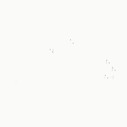 Fc1cc(-c2nccnc2Oc2ccc(C(F)(F)F)cc2)cc2nn[nH]c12